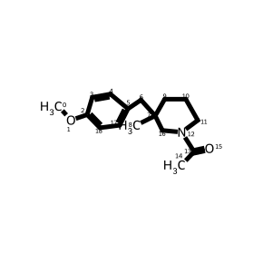 COc1ccc(CC2(C)CCCN(C(C)=O)C2)cc1